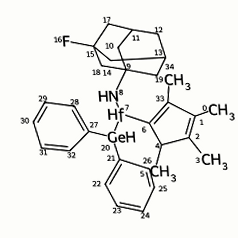 CC1=C(C)C(C)[C]([Hf]([NH]C23CC4CC(CC(F)(C4)C2)C3)[GeH]([c]2ccccc2)[c]2ccccc2)=C1C